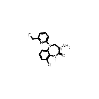 N[C@H]1CN(c2cccc(CF)n2)c2cccc(Cl)c2NC1=O